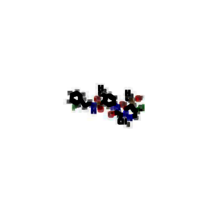 Cc1ccc(NC(=O)C(C)n2ncc(Cl)c([S+](C)[O-])c2=O)cc1S(=O)(=O)NCCc1ccccc1F